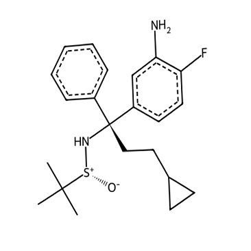 CC(C)(C)[S@@+]([O-])N[C@](CCC1CC1)(c1ccccc1)c1ccc(F)c(N)c1